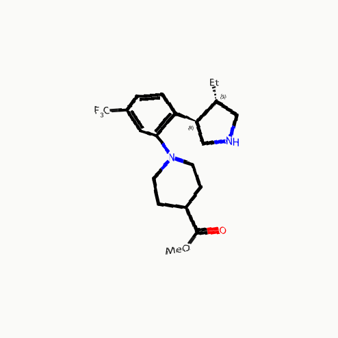 CC[C@@H]1CNC[C@H]1c1ccc(C(F)(F)F)cc1N1CCC(C(=O)OC)CC1